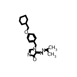 CC(C)=N/N=C1/C(=O)N=CN1Cc1ccc(OCC2CCCCC2)cc1